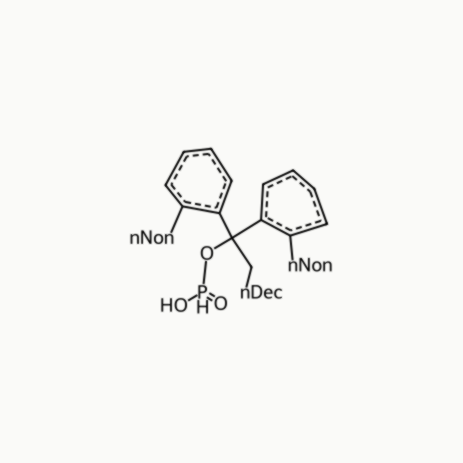 CCCCCCCCCCCC(O[PH](=O)O)(c1ccccc1CCCCCCCCC)c1ccccc1CCCCCCCCC